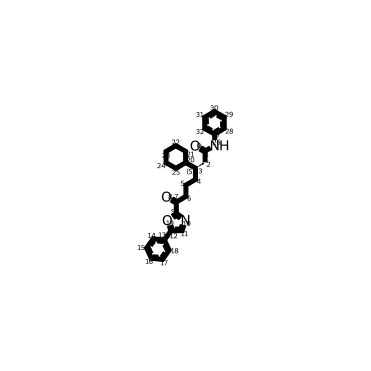 O=C(C[C@H](CCCC(=O)c1ncc(-c2ccccc2)o1)C1CCCCC1)Nc1ccccc1